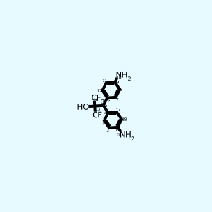 Nc1ccc(C(c2ccc(N)cc2)C(O)(C(F)(F)F)C(F)(F)F)cc1